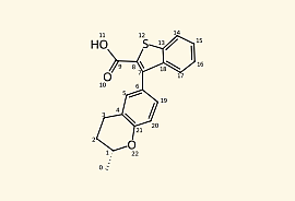 C[C@@H]1CCc2cc(-c3c(C(=O)O)sc4ccccc34)ccc2O1